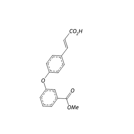 COC(=O)c1cccc(Oc2ccc(/C=C/C(=O)O)cc2)c1